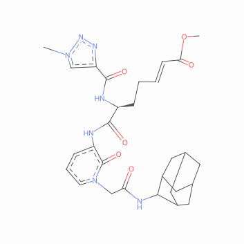 COC(=O)/C=C/CC[C@H](NC(=O)c1cn(C)nn1)C(=O)Nc1cccn(CC(=O)NC2C3CC4CC(C3)CC2C4)c1=O